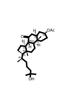 CC(=O)O[C@H]1CC[C@@]2(C)[C@@H](CC(=O)[C@@H]3[C@@H]2CC[C@]2(C)[C@@H]([C@H](C)CCCC(C)(C)O)CC[C@@H]32)C1